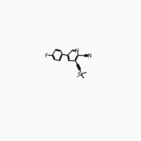 C[Si](C)(C)C#Cc1cc(-c2ccc(F)cc2)cnc1C#N